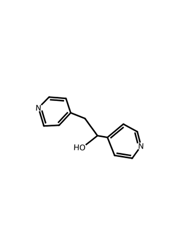 OC(Cc1ccncc1)c1ccncc1